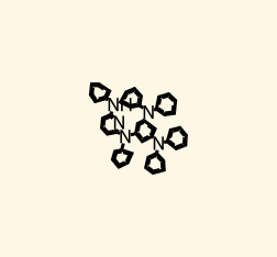 c1ccc(Nc2cccc(N(c3ccccc3)c3cc(N(c4ccccc4)c4ccccc4)cc(N(c4ccccc4)c4ccccc4)c3)n2)cc1